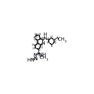 CCc1cccc(Nc2nc3cc(/C(=N/N=N)NC)ccc3c3sccc23)c1